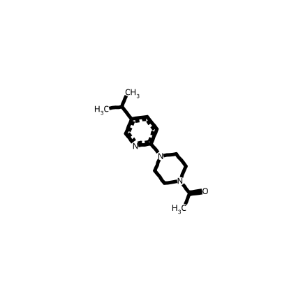 CC(=O)N1CCN(c2ccc(C(C)C)cn2)CC1